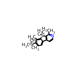 Cc1nccc2c1[Si](C)(C)c1c-2ccc([Si](C)(C)C)c1C